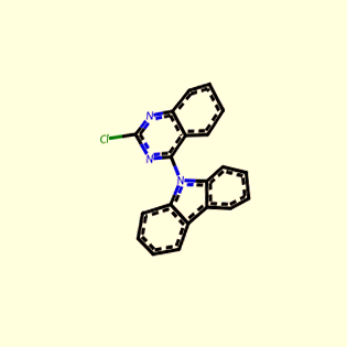 Clc1nc(-n2c3ccccc3c3ccccc32)c2ccccc2n1